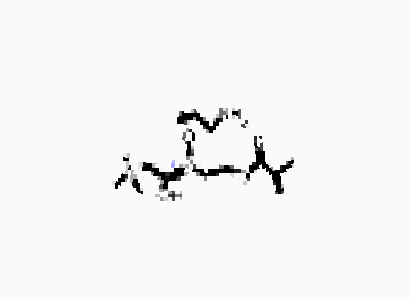 C=C(C)C(=O)OCC/[P+]([O-])=C(\O)C[N+](C)(C)C.C=CCN